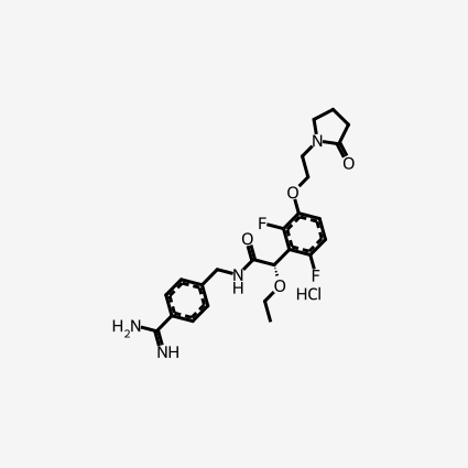 CCO[C@H](C(=O)NCc1ccc(C(=N)N)cc1)c1c(F)ccc(OCCN2CCCC2=O)c1F.Cl